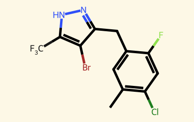 Cc1cc(Cc2n[nH]c(C(F)(F)F)c2Br)c(F)cc1Cl